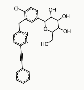 OCC1OC(c2ccc(Cl)c(Cc3ccc(C#Cc4ccccc4)nn3)c2)C(O)C(O)C1O